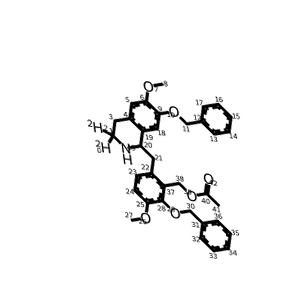 [2H]C1([2H])Cc2cc(OC)c(OCc3ccccc3)cc2C(Cc2ccc(OC)c(OCc3ccccc3)c2COC(C)=O)N1